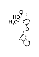 CCC(O)(CC)c1cccc(OCc2ccc3ccccc3c2)c1